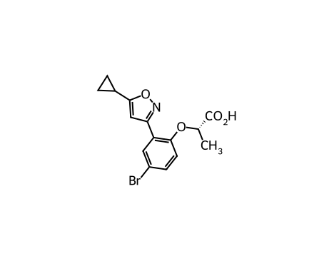 C[C@H](Oc1ccc(Br)cc1-c1cc(C2CC2)on1)C(=O)O